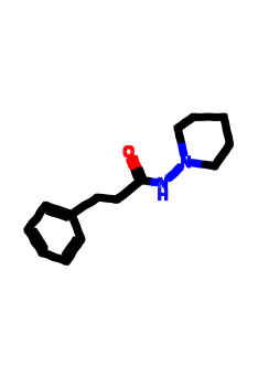 O=C(CCc1ccccc1)NN1CCCCC1